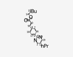 CCCc1cnc(-c2ccc(/C=C/C(=O)OC[C@H](C)CC)cc2)nc1